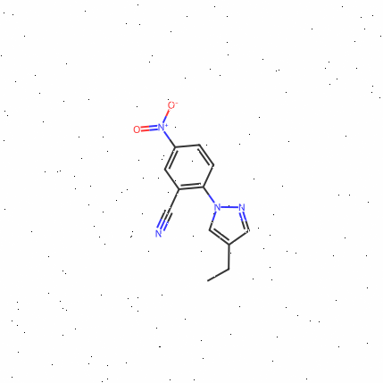 CCc1cnn(-c2ccc([N+](=O)[O-])cc2C#N)c1